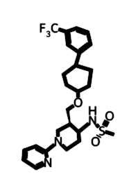 CS(=O)(=O)NC1CCN(c2ccccn2)C[C@H]1COC1CCC(c2cccc(C(F)(F)F)c2)CC1